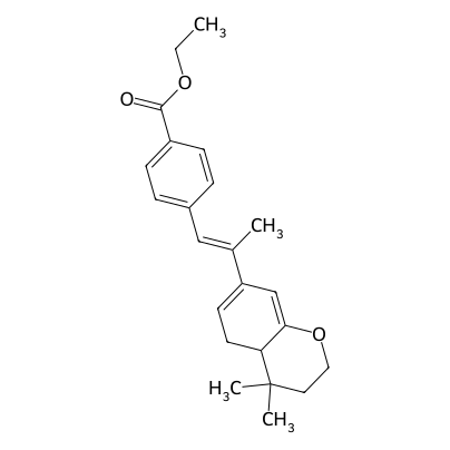 CCOC(=O)c1ccc(C=C(C)C2=CCC3C(=C2)OCCC3(C)C)cc1